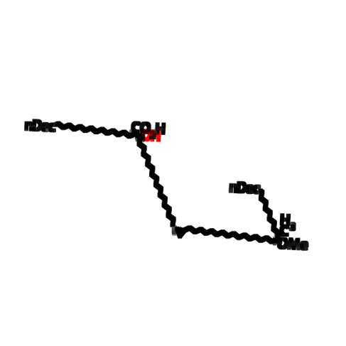 CCCCCCCCCCCCCCCCCCCCCCCC[C@@H](C(=O)O)[C@H](O)CCCCCCCCCCCCCCCCC[C@H]1CC1CCCCCCCCCCCCCCCC[C@@H](OC)[C@@H](C)CCCCCCCCCCCCCCCCCC